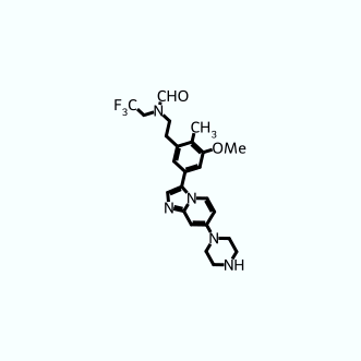 COc1cc(-c2cnc3cc(N4CCNCC4)ccn23)cc(CCN(C=O)CC(F)(F)F)c1C